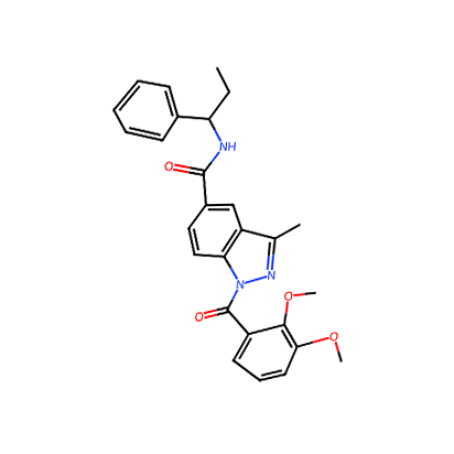 CCC(NC(=O)c1ccc2c(c1)c(C)nn2C(=O)c1cccc(OC)c1OC)c1ccccc1